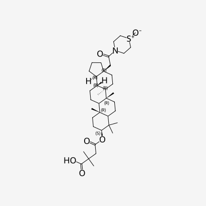 CC(C)(CC(=O)O[C@H]1CC[C@@]2(C)C(CC[C@]3(C)C2CC[C@@H]2[C@H]4CCC[C@]4(CC(=O)N4CC[S+]([O-])CC4)CC[C@]23C)C1(C)C)C(=O)O